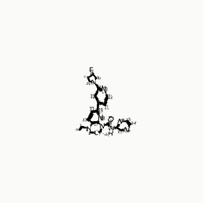 CCN1CC[C@@H](C)N(C(=O)Nc2cnccn2)c2nc(-c3ccnc(N4CC[C@@H](F)C4)c3)ccc21